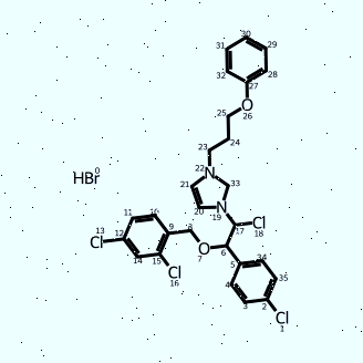 Br.Clc1ccc(C(OCc2ccc(Cl)cc2Cl)C(Cl)N2C=CN(CCCOc3ccccc3)C2)cc1